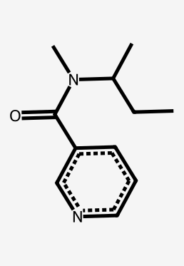 CCC(C)N(C)C(=O)c1cccnc1